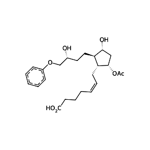 CC(=O)O[C@H]1C[C@@H](O)[C@H](CC[C@@H](O)COc2ccccc2)[C@H]1C/C=C\CCCC(=O)O